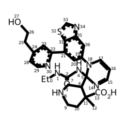 CCNC(=O)NC1(C2CNCCC2(C)C(=O)O)N=CC=CN1c1cc(-c2cc(CCO)ccn2)c2scnc2c1